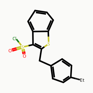 CCc1ccc(Cc2sc3ccccc3c2S(=O)(=O)Cl)cc1